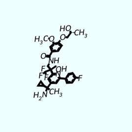 COc1cc(C(=O)NCC(CO)(c2cc(C(C)(N)C3CC3)cc(-c3ccc(F)cc3)n2)C(F)(F)F)ccc1OC[C@@H](C)O